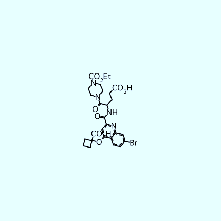 CCOC(=O)N1CCN(C(=O)C(CCC(=O)O)NC(=O)c2cc(OC3(C(=O)O)CCC3)c3ccc(Br)cc3n2)CC1